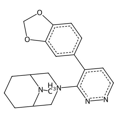 CN1C2CCCC1CN(c1nnccc1-c1ccc3c(c1)OCO3)C2